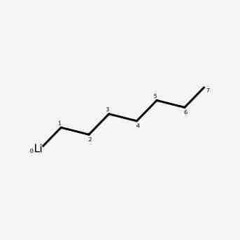 [Li][CH2]CCCCCC